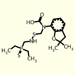 CCP(=S)(CC)CNSCN(C(=O)O)c1cccc2c1OC(C)(C)C2